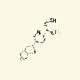 CC(SS)c1ccc(N2CC3COCC3C2)cn1